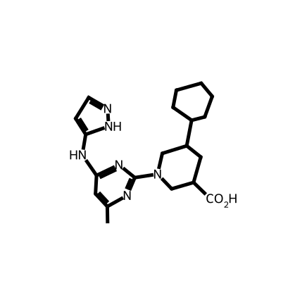 Cc1cc(Nc2ccn[nH]2)nc(N2CC(C(=O)O)CC(C3CCCCC3)C2)n1